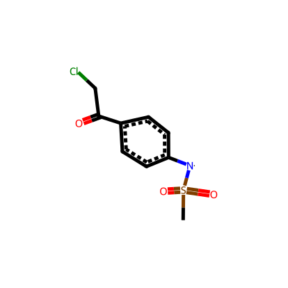 CS(=O)(=O)[N]c1ccc(C(=O)CCl)cc1